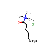 CCCCCCCCCCCC(=O)[N+](C)(C)C.[Cl-]